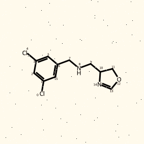 Clc1cc(Cl)cc(CNCC2CO[C]=N2)c1